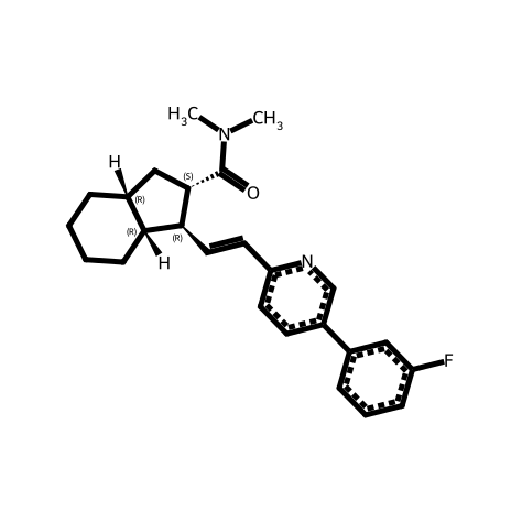 CN(C)C(=O)[C@H]1C[C@H]2CCCC[C@H]2[C@@H]1C=Cc1ccc(-c2cccc(F)c2)cn1